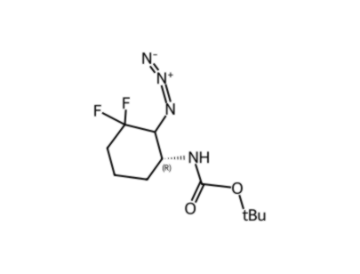 CC(C)(C)OC(=O)N[C@@H]1CCCC(F)(F)C1N=[N+]=[N-]